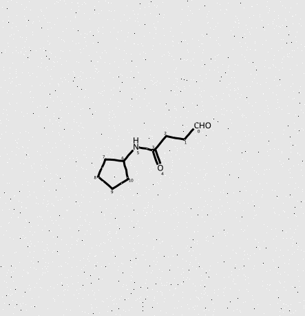 O=CCCC(=O)NC1CCCC1